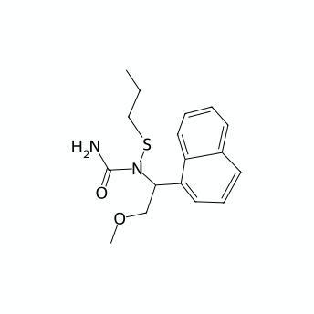 CCCSN(C(N)=O)C(COC)c1cccc2ccccc12